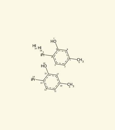 Cc1ccc(C(C)C)c(O)c1.Cc1ccc(C(C)C)c(O)c1.I.I